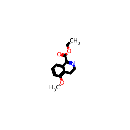 CCOC(=O)C1=NCCc2c(OC)cccc21